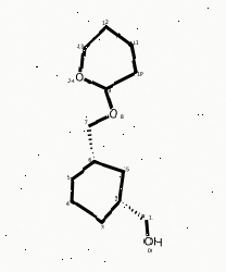 OC[C@@H]1CCC[C@H](COC2CCCCO2)C1